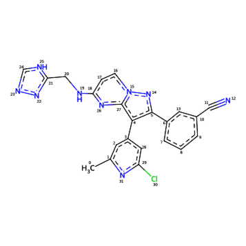 Cc1cc(-c2c(-c3cccc(C#N)c3)nn3ccc(NCc4nnc[nH]4)nc23)cc(Cl)n1